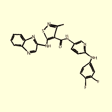 Cc1nsc(Nc2cnc3ccccc3n2)c1C(=O)Nc1ccc(Nc2ccc(F)c(F)c2)nc1